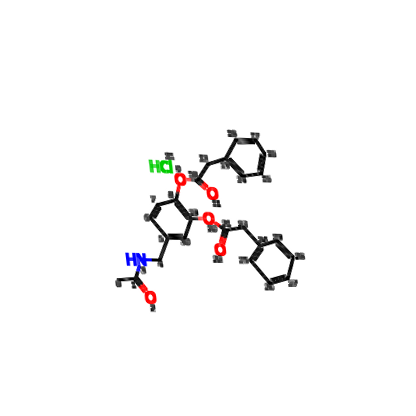 CC(=O)NCc1ccc(OC(=O)Cc2ccccc2)c(OC(=O)Cc2ccccc2)c1.Cl